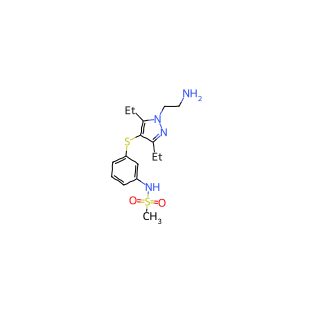 CCc1nn(CCN)c(CC)c1Sc1cccc(NS(C)(=O)=O)c1